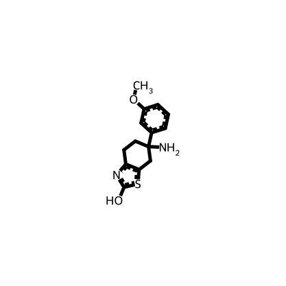 COc1cccc(C2(N)CCc3nc(O)sc3C2)c1